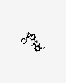 Cc1c(Br)cccc1C(=O)Nc1cnc2nnc(N3CCOCC3)n2c1